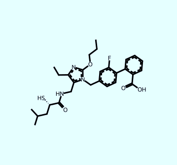 CCCOc1nc(CC)c(CNC(=O)[C@@H](S)CC(C)C)n1Cc1ccc(-c2ccccc2C(=O)O)c(F)c1